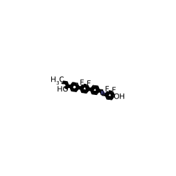 CCCC(O)C1CCC(c2ccc(-c3ccc(/C=C/c4ccc(O)c(F)c4F)cc3)c(F)c2F)CC1